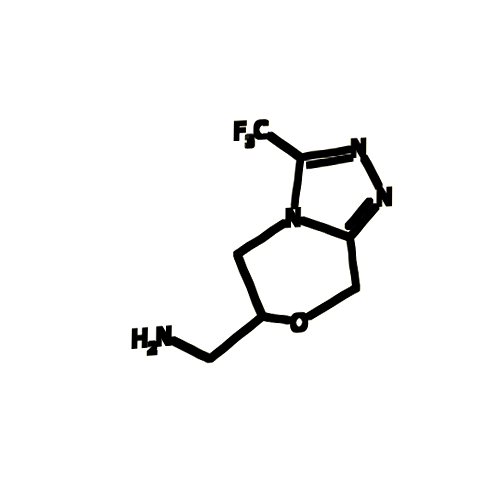 NCC1Cn2c(nnc2C(F)(F)F)CO1